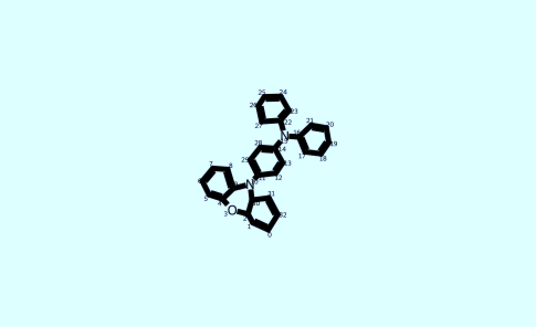 C1=CC2Oc3ccccc3N(c3ccc(N(c4ccccc4)c4ccccc4)cc3)C2C=C1